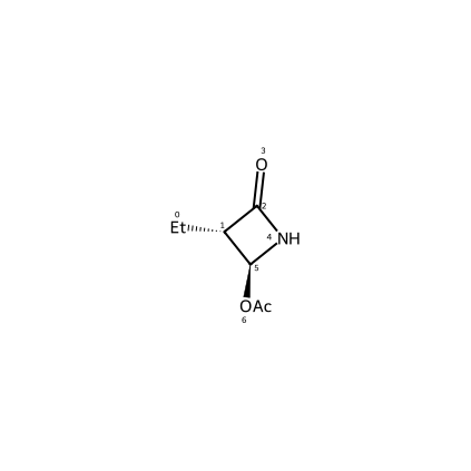 CC[C@@H]1C(=O)N[C@H]1OC(C)=O